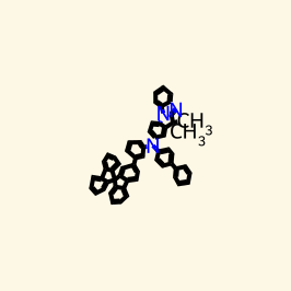 CC1(C)c2cc(N(c3ccc(-c4ccccc4)cc3)c3cccc(-c4ccc5c(c4)C4(c6ccccc6-c6ccccc64)c4ccccc4-5)c3)ccc2-n2c1nc1ccccc12